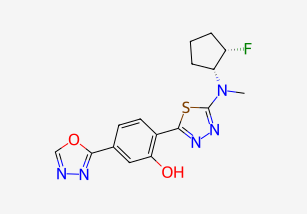 CN(c1nnc(-c2ccc(-c3nnco3)cc2O)s1)[C@@H]1CCC[C@@H]1F